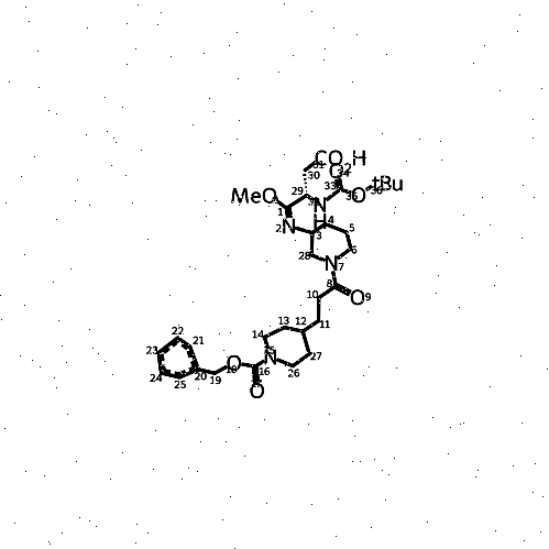 COC(=NC1CCCN(C(=O)CCC2CCN(C(=O)OCc3ccccc3)CC2)C1)[C@H](CC(=O)O)NC(=O)OC(C)(C)C